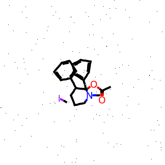 CC(=O)OC1(c2ccccc2)C(c2ccccc2)CCCN1C.CI